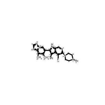 CC(=O)N1CCN(c2ncc3[nH]c(-c4cn5ncnc5c(C)c4C)c(C(C)C)c3c2F)CC1